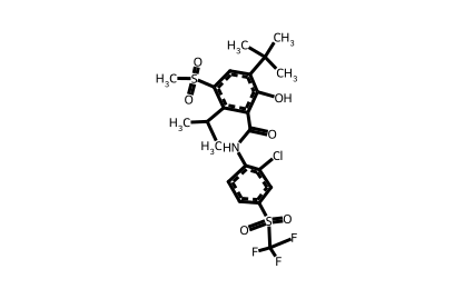 CC(C)c1c(S(C)(=O)=O)cc(C(C)(C)C)c(O)c1C(=O)Nc1ccc(S(=O)(=O)C(F)(F)F)cc1Cl